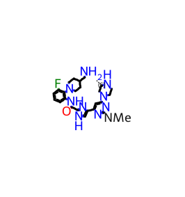 CNc1nc(-c2c[nH]c(C(=O)Nc3cccc(F)c3N3CCC(CN)CC3)n2)cc(N2CCN[C@@H](C)C2)n1